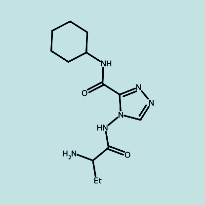 CCC(N)C(=O)Nn1cnnc1C(=O)NC1CCCCC1